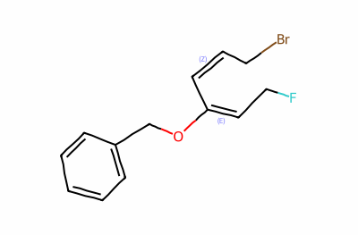 FC/C=C(\C=C/CBr)OCc1ccccc1